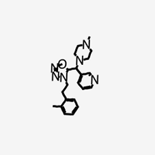 Cc1ccccc1CCN1N=NOC1C(c1cccnc1)N1CCN(C)CC1